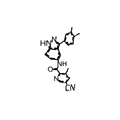 Cc1ccc(-c2n[nH]c3ccc(NC(=O)c4ncc(C#N)cc4C)cc23)cc1C